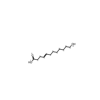 O=C(O)CCC=CCCCCCCCO